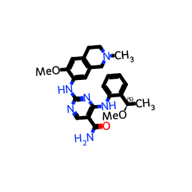 COc1cc2c(cc1Nc1ncc(C(N)=O)c(Nc3ccccc3[C@H](C)OC)n1)CN(C)CC2